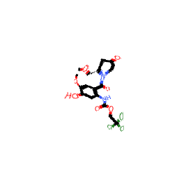 COC[C@@H]1CC(=O)CN1C(=O)c1cc(OC)c(O)cc1NC(=O)OCC(Cl)(Cl)Cl